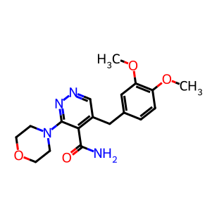 COc1ccc(Cc2cnnc(N3CCOCC3)c2C(N)=O)cc1OC